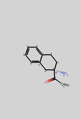 COC(=O)[C@]1(N)CCc2ccccc2C1